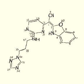 N#CC(=C1Nc2ccccc2O1)c1ccnc(NCCCn2cncn2)n1